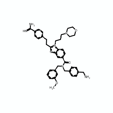 COc1cccc(CN(Cc2ccc(CN)cc2)C(=O)c2ccc3c(c2)nc(CCc2ccc(C(=N)N)cc2)n3CCCN2CCOCC2)c1